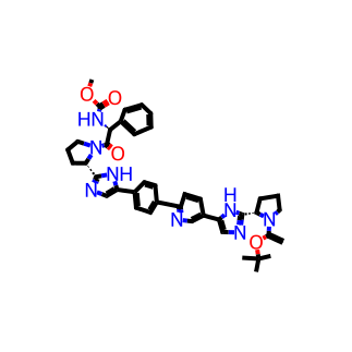 C=C(OC(C)(C)C)N1CCC[C@H]1c1ncc(-c2ccc(-c3ccc(-c4cnc([C@@H]5CCCN5C(=O)[C@H](NC(=O)OC)c5ccccc5)[nH]4)cc3)nc2)[nH]1